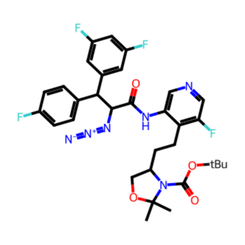 CC(C)(C)OC(=O)N1C(CCc2c(F)cncc2NC(=O)C(N=[N+]=[N-])C(c2ccc(F)cc2)c2cc(F)cc(F)c2)COC1(C)C